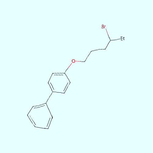 CCC(Br)CCCOc1ccc(-c2ccccc2)cc1